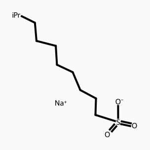 CC(C)CCCCCCCCS(=O)(=O)[O-].[Na+]